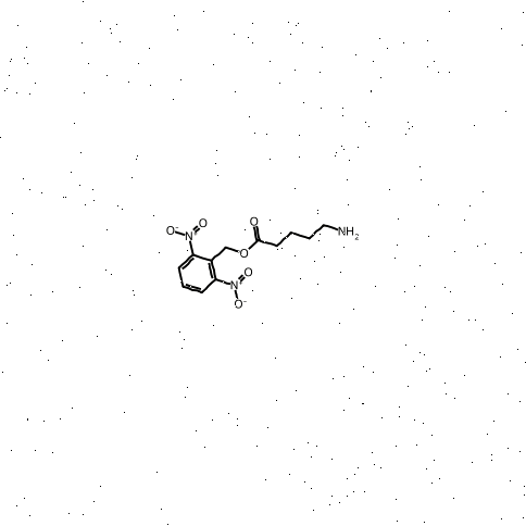 NCCCCC(=O)OCc1c([N+](=O)[O-])cccc1[N+](=O)[O-]